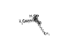 CC=CCCCCCCCC(=O)OCC(COC(C)=O)OC(=O)CCCCCCCC=CC